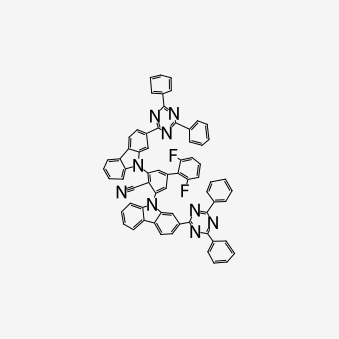 N#Cc1c(-n2c3ccccc3c3ccc(-c4nc(-c5ccccc5)nc(-c5ccccc5)n4)cc32)cc(-c2c(F)cccc2F)cc1-n1c2ccccc2c2ccc(-c3nc(-c4ccccc4)nc(-c4ccccc4)n3)cc21